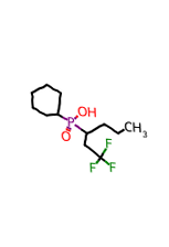 CCCC(CC(F)(F)F)P(=O)(O)C1CCCCC1